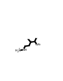 CCCC(C)C(C)CCNN